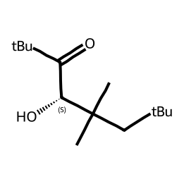 CC(C)(C)CC(C)(C)[C@H](O)C(=O)C(C)(C)C